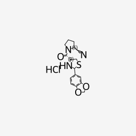 Cl.N#C[C@@H]1CCCN1C(=O)[C@@H]1CSC(c2ccc3c(c2)OCO3)N1